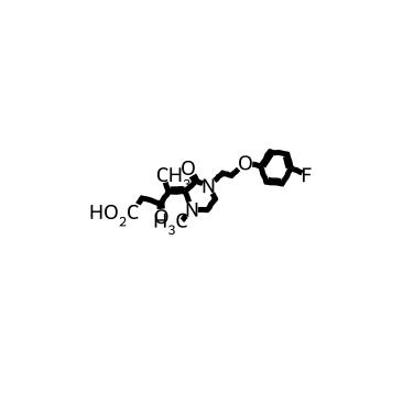 C/C(C(=O)CC(=O)O)=C1\C(=O)N(CCOc2ccc(F)cc2)CCN1C